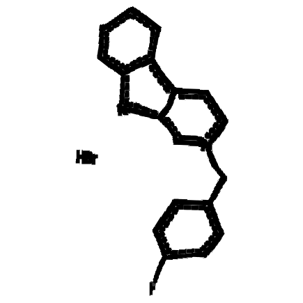 Br.Fc1ccc(Cn2ccc3c4ccccc4nc-3c2)cc1